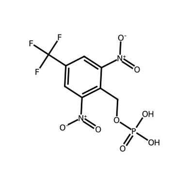 O=[N+]([O-])c1cc(C(F)(F)F)cc([N+](=O)[O-])c1COP(=O)(O)O